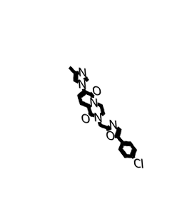 Cc1cn(-c2ccc3n(c2=O)CCN(Cc2ncc(-c4ccc(Cl)cc4)o2)C3=O)cn1